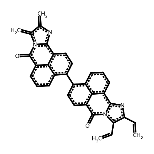 C=Cc1nc2c3cccc4c(-c5ccc6c7c5cccc7c(=O)n5c(=C)c(=C)nc65)ccc(c(=O)n2c1C=C)c43